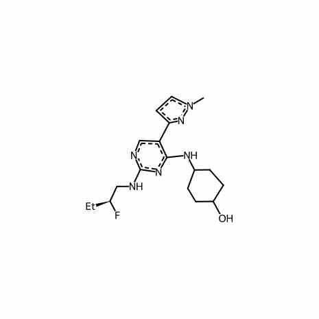 CC[C@H](F)CNc1ncc(-c2ccn(C)n2)c(NC2CCC(O)CC2)n1